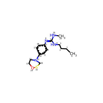 CCCCNC(=Nc1ccc(N2CCOSC2)cc1)NC